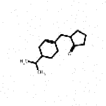 CC(C)C1CC=C(CC2CCCC2=O)CC1